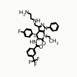 CCN1C(=O)[C@@H](NC(=O)c2cccc(C(F)(F)F)c2)[C@@H](c2ccc(F)cc2)c2c(CNCCN)nn(-c3ccccc3)c21